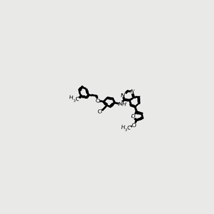 COc1ccc(-c2ccc3ncnc(Nc4ccc(OCc5cccc(C)c5)c(Cl)c4)c3c2)o1